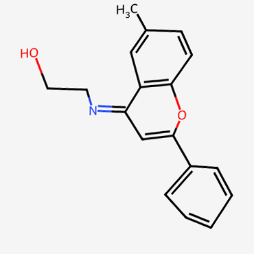 Cc1ccc2oc(-c3ccccc3)c/c(=N/CCO)c2c1